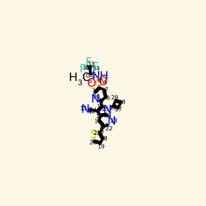 C[C@H](NS(=O)(=O)c1ccc(-c2c(C#N)c3cc(-c4cccs4)cnc3n2C2=CC=C2)nc1)C(F)(F)F